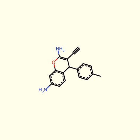 C#CC1=C(N)Oc2cc(N)ccc2C1c1ccc(C)cc1